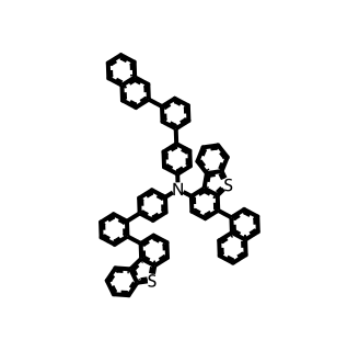 c1cc(-c2ccc(N(c3ccc(-c4ccccc4-c4cccc5sc6ccccc6c45)cc3)c3ccc(-c4cccc5ccccc45)c4sc5ccccc5c34)cc2)cc(-c2ccc3ccccc3c2)c1